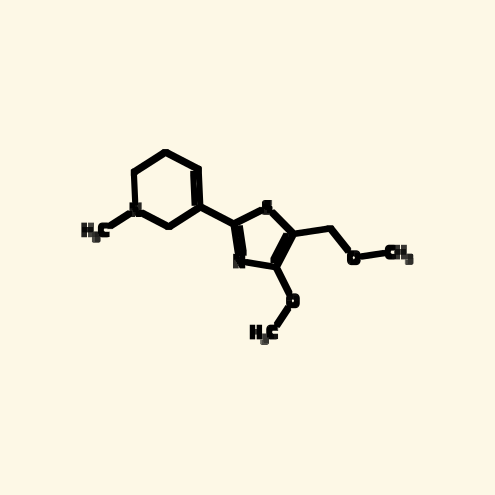 COCc1sc(C2=CCCN(C)C2)nc1OC